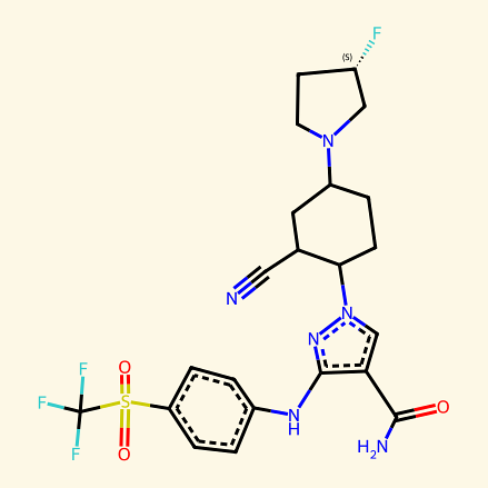 N#CC1CC(N2CC[C@H](F)C2)CCC1n1cc(C(N)=O)c(Nc2ccc(S(=O)(=O)C(F)(F)F)cc2)n1